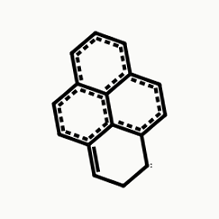 [C]1CC=c2ccc3cccc4ccc1c2c43